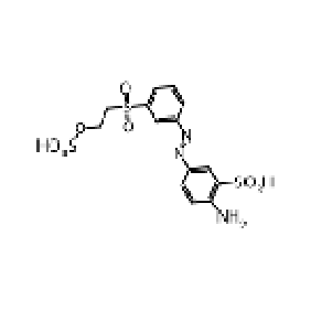 Nc1ccc(N=Nc2cccc(S(=O)(=O)CCOS(=O)(=O)O)c2)cc1S(=O)(=O)O